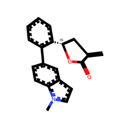 C=C1C[C@@H](c2ccccc2-c2ccc3c(ccn3C)c2)OC1=O